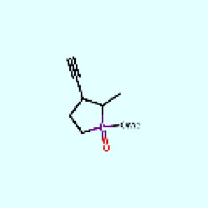 C#CC1CCP(=O)(OC)C1C